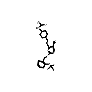 CC(C)NC1CCC(CNc2nc(NCc3ccccc3OC(F)(F)F)ncc2C#N)CC1